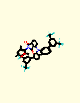 Cc1cc(C)c(N2C(=O)c3cccc(-n4c5cc(-c6cc(C(F)(F)F)cc(C(F)(F)F)c6)ccc5c5ccc(-c6cc(C(F)(F)F)cc(C(F)(F)F)c6)cc54)c3C2=O)c(C)c1